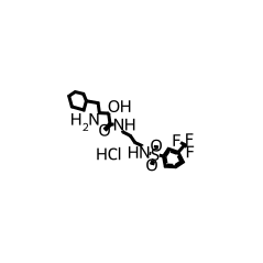 Cl.N[C@H](CC1CCCCC1)C(O)C(=O)NCCCCNS(=O)(=O)c1cccc(C(F)(F)F)c1